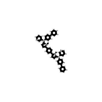 Cn1c(-c2ccc(-c3ccc(N(c4ccc(-c5ccccc5)cc4)c4cccnc4)n3C)cc2)ccc1N(c1ccc(-c2ccccc2)cc1)c1cccnc1